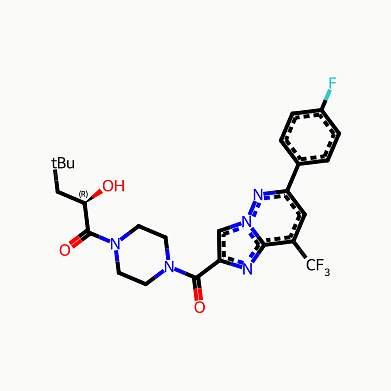 CC(C)(C)C[C@@H](O)C(=O)N1CCN(C(=O)c2cn3nc(-c4ccc(F)cc4)cc(C(F)(F)F)c3n2)CC1